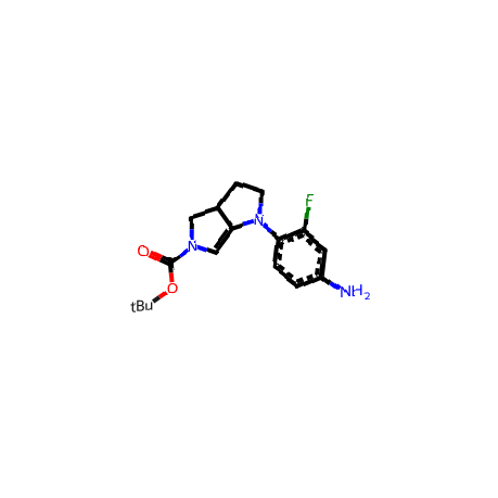 CC(C)(C)OC(=O)N1C=C2C(CCN2c2ccc(N)cc2F)C1